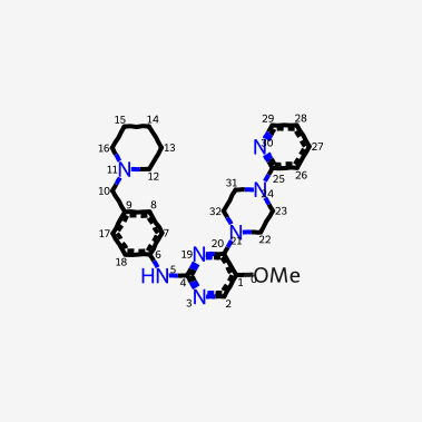 COc1cnc(Nc2ccc(CN3CCCCC3)cc2)nc1N1CCN(c2ccccn2)CC1